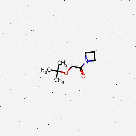 CC(C)(C)OCC(=O)N1CCC1